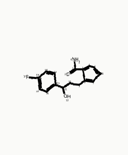 NC(=O)c1ccccc1CCC(O)c1ccc(F)cc1